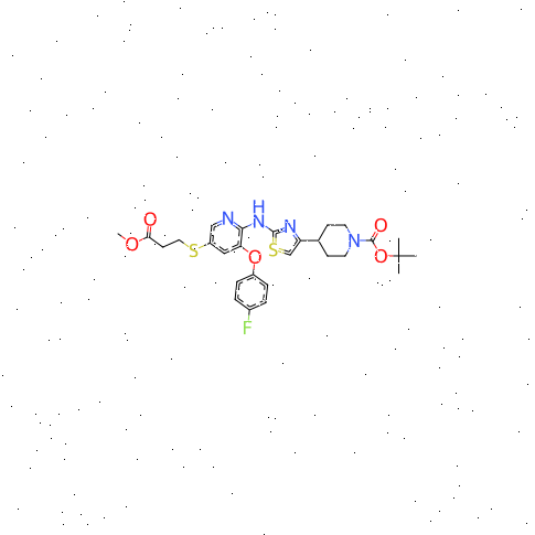 COC(=O)CCSc1cnc(Nc2nc(C3CCN(C(=O)OC(C)(C)C)CC3)cs2)c(Oc2ccc(F)cc2)c1